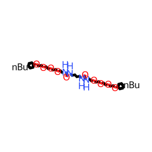 CCCCc1ccc(OCCOCCOCCOCCNC(=O)NCCCCNC(=O)NCCOCCOCCOCCOc2ccc(CCCC)cc2)cc1